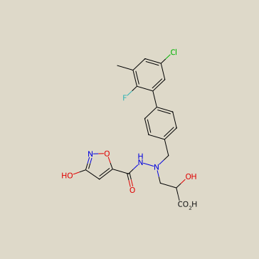 Cc1cc(Cl)cc(-c2ccc(CN(CC(O)C(=O)O)NC(=O)c3cc(O)no3)cc2)c1F